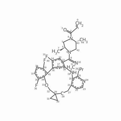 C=CC(=O)N1C[C@H](C)N(/C(=N/C)c2cc(F)c3nc2Nc2c(ccnc2C(C)C)CCC2(CC2)COc2c(F)ccc(F)c2-3)C[C@H]1C